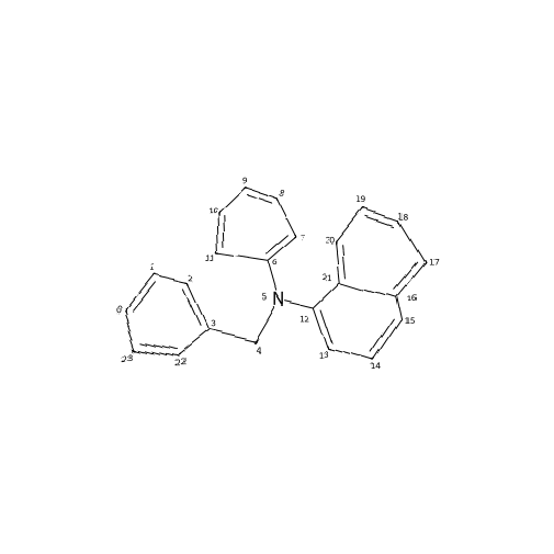 c1ccc(CN(c2ccccc2)c2cccc3ccccc23)cc1